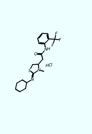 CN1/C(=N/C2CCCCC2)SCC1CC(=O)Nc1ccccc1C(F)(F)F.Cl